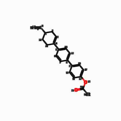 CCCCCCCC1CC=C(c2ccc(-c3ccc(OC(=O)CC)cc3)cc2)CC1